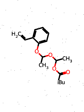 C=Cc1ccccc1OC(C)OC(C)OC(=O)C(C)CC